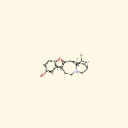 CCC1CC2CC3c4oc5ccc(O)cc5c4CCN(C2)C13C